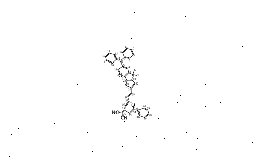 CC1(C)c2cc(N(c3ccccc3)c3ccccc3)cnc2-c2sc(/C=C/C3=CC(=C(C#N)C#N)C=C(c4ccccc4)O3)cc21